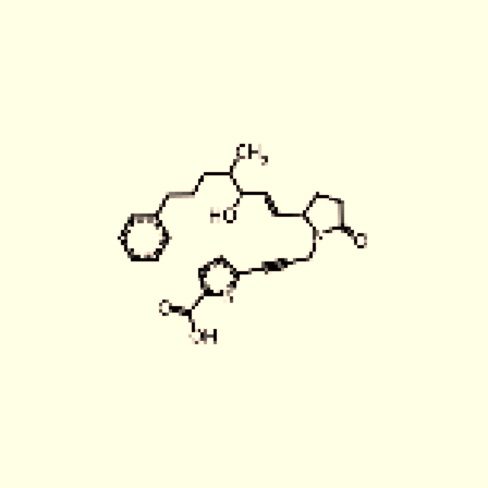 CC(CCCc1ccccc1)[C@H](O)C=C[C@H]1CCC(=O)N1CC#Cc1ccc(C(=O)O)s1